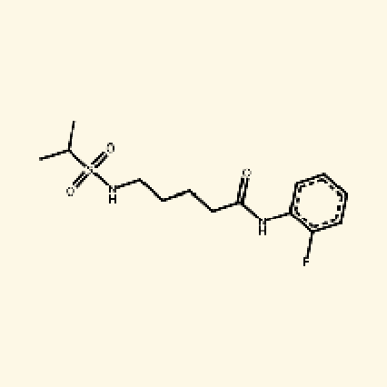 CC(C)S(=O)(=O)NCCCCC(=O)Nc1ccccc1F